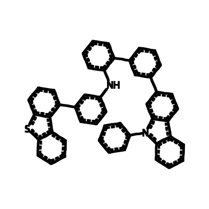 c1ccc(-n2c3ccccc3c3ccc(-c4cccc(-c5ccccc5Nc5cccc(-c6cccc7sc8ccccc8c67)c5)c4)cc32)cc1